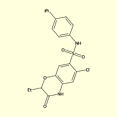 CCC1Oc2cc(S(=O)(=O)Nc3ccc(C(C)C)cc3)c(Cl)cc2NC1=O